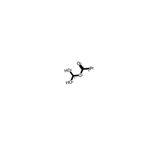 CC(C)C(=O)OC(O)O